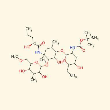 CCC[C@H](O)C(=O)NC1(C)CC(C)C(OC2OC(CC)C(O)CC2NC(=O)OC(C)(C)C)C(O)C1OC1OC(COC)C(O)C(C)C1O